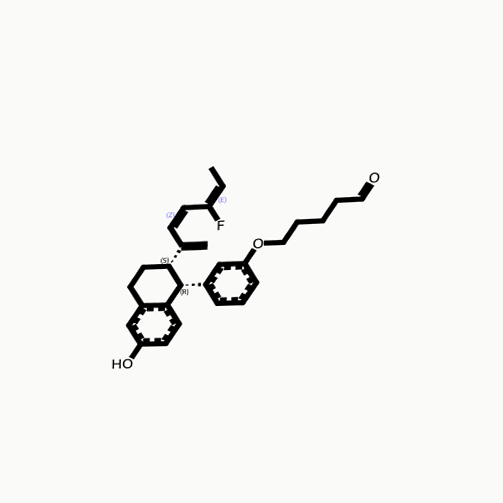 C=C(/C=C\C(F)=C/C)[C@H]1CCc2cc(O)ccc2[C@H]1c1cccc(OCCCCC=O)c1